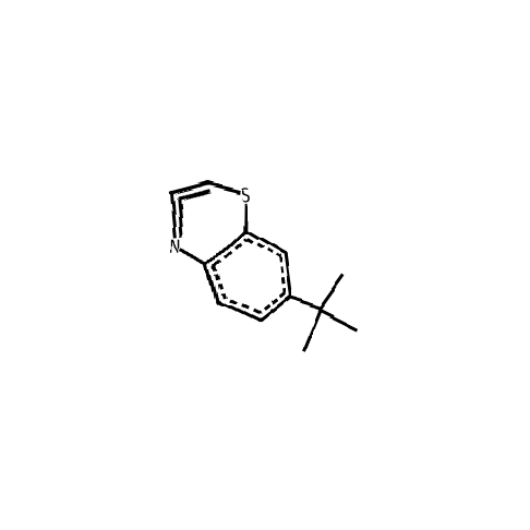 CC(C)(C)c1ccc2c(c1)SC=C=N2